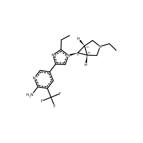 CCc1nc(-c2cnc(N)c(C(F)(F)F)c2)cn1[C@H]1[C@@H]2CN(CC)C[C@@H]21